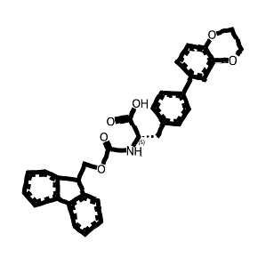 O=C(N[C@@H](Cc1ccc(-c2ccc3c(c2)OCCO3)cc1)C(=O)O)OCC1c2ccccc2-c2ccccc21